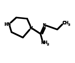 CCN=C(N)N1CCNCC1